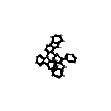 c1ccc(-c2nc(-c3c(-n4c5ccccc5c5ccccc54)ccc4c3sc3ccccc34)nc3c2sc2ccccc23)cc1